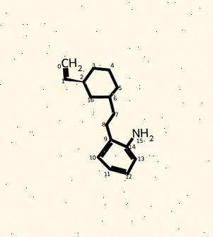 C=C[C@H]1CCCC(CCc2ccccc2N)C1